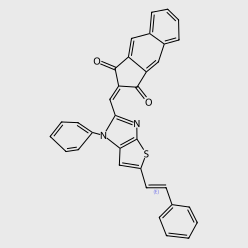 O=C1C(=Cc2nc3sc(/C=C/c4ccccc4)cc3n2-c2ccccc2)C(=O)c2cc3ccccc3cc21